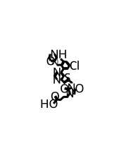 Cc1cc(Cl)cc(-c2ncnc3cc(CN4C(=O)CN(CCCC(=O)O)C4=O)sc23)c1C[C@@H]1CNCCO1